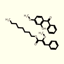 CCCCCCCCOC(=O)C(=Cc1ccccc1)OC.COc1ccc(C(=O)c2ccccc2)c(O)c1